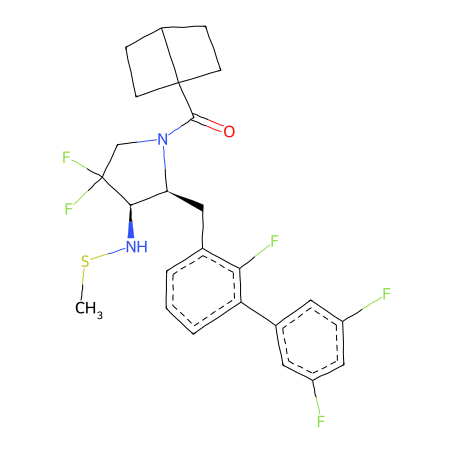 CSN[C@@H]1[C@H](Cc2cccc(-c3cc(F)cc(F)c3)c2F)N(C(=O)C23CCC2CC3)CC1(F)F